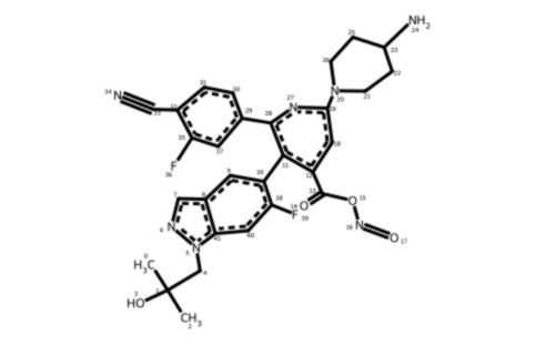 CC(C)(O)Cn1ncc2cc(-c3c(C(=O)ON=O)cc(N4CCC(N)CC4)nc3-c3ccc(C#N)c(F)c3)c(F)cc21